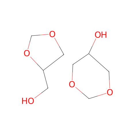 OC1COCOC1.OCC1COCO1